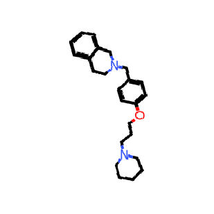 c1ccc2c(c1)CCN(Cc1ccc(OCCCN3CCCCC3)cc1)C2